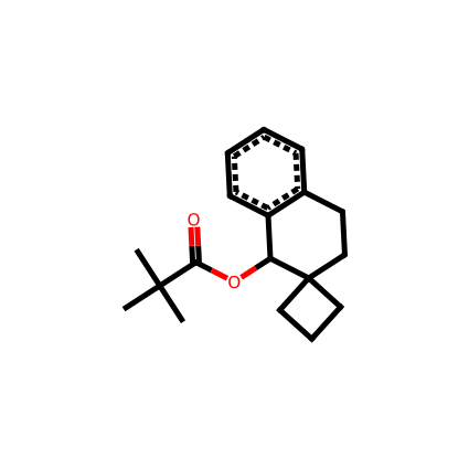 CC(C)(C)C(=O)OC1c2ccccc2CCC12CCC2